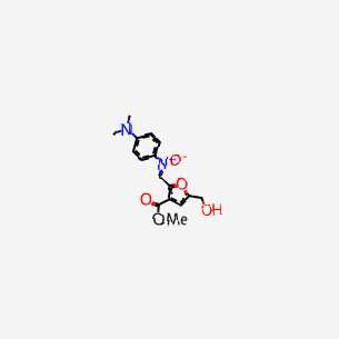 COC(=O)c1cc(CO)oc1C=[N+]([O-])c1ccc(N(C)C)cc1